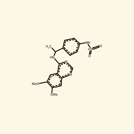 COc1cc2ncnc(NC(C)c3ccc(N[SH](=O)=O)cc3)c2cc1OC